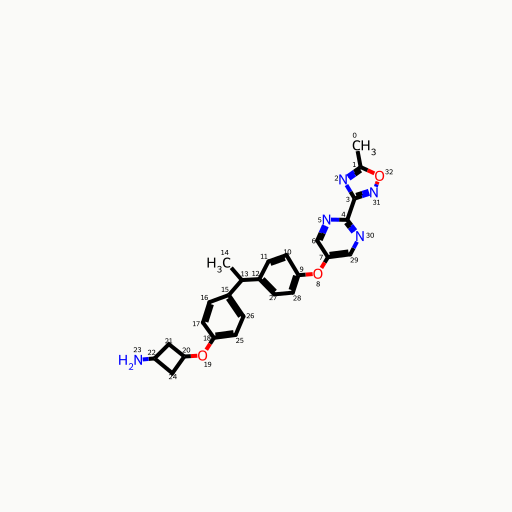 Cc1nc(-c2ncc(Oc3ccc(C(C)c4ccc(OC5CC(N)C5)cc4)cc3)cn2)no1